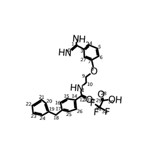 N=C(N)c1cccc(OCCNC(=O)c2ccc(Cc3ccccc3)cc2)c1.O=C(O)C(F)(F)F